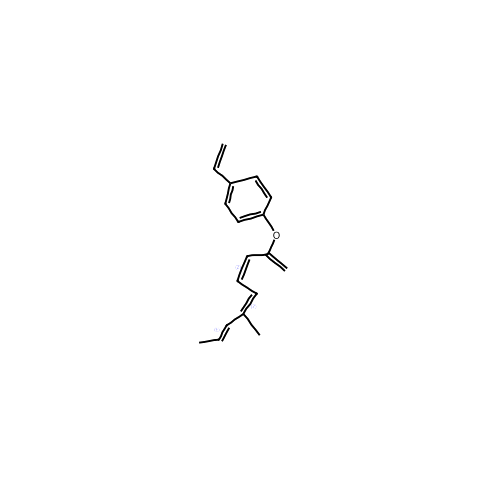 C=Cc1ccc(OC(=C)\C=C/C=C(C)\C=C\C)cc1